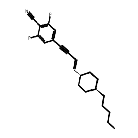 CCCCC[C@H]1CC[C@H](C=CC#Cc2cc(F)c(C#N)c(F)c2)CC1